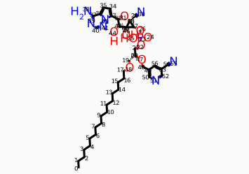 CCCCCCCCCCCCCCCCCCOC[C@H](COP(=O)(O)OC1[C@@]2(C#N)OC(c3ccc4c(N)ncnn34)[C@H](O)[C@@]12O)OCc1cncc(C#N)c1